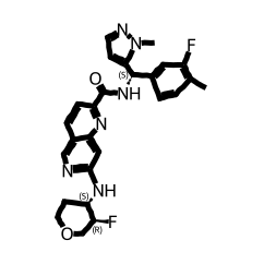 Cc1ccc([C@H](NC(=O)c2ccc3cnc(N[C@H]4CCOC[C@@H]4F)cc3n2)c2ccnn2C)cc1F